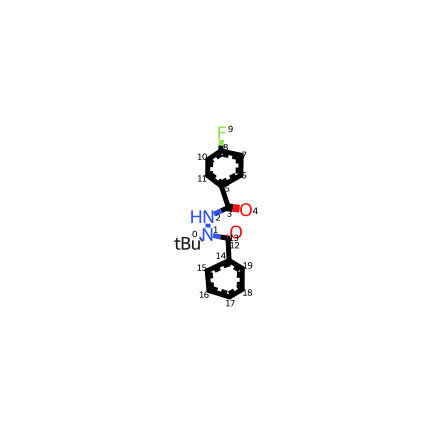 CC(C)(C)N(NC(=O)c1ccc(F)cc1)C(=O)c1ccccc1